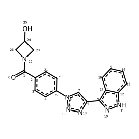 O=C(c1ccc(-n2cc(-c3n[nH]c4ccccc34)nn2)cc1)N1CC(O)C1